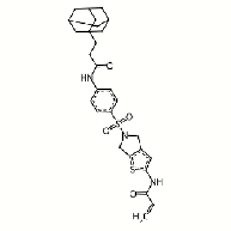 C=CC(=O)Nc1cc2c(s1)CN(S(=O)(=O)c1ccc(NC(=O)CCC34CC5CC(CC(C5)C3)C4)cc1)C2